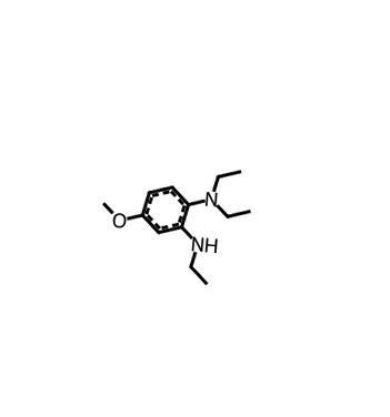 CCNc1cc(OC)ccc1N(CC)CC